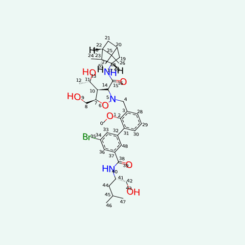 COc1c(CN2O[C@@H](CO)[C@@H]([C@H](C)O)C2C(=O)N[C@H]2CC3C[C@@H]([C@@H]2C)C3(C)C)cccc1-c1cc(Br)cc(C(=O)N[C@H](CO)CC(C)C)c1